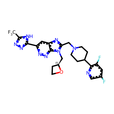 Fc1cnc(C2CCN(Cc3nc4cc(-c5nnc(C(F)(F)F)[nH]5)nnc4n3C[C@@H]3CCO3)CC2)c(F)c1